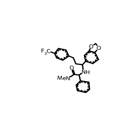 CNC(=O)C(NC(CCc1ccc(C(F)(F)F)cc1)c1ccc2c(c1)OCO2)c1ccccc1